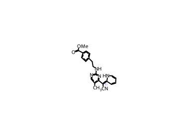 COC(=O)c1ccc(CCNc2ncc(C)c(/C(C#N)=C3/C=CC=CN3)n2)cc1